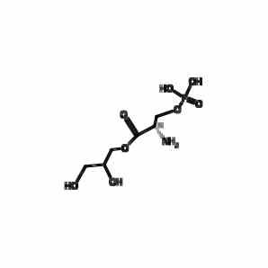 N[C@@H](COP(=O)(O)O)C(=O)OCC(O)CO